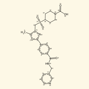 Cc1oc(-c2ccc(C(=O)NCc3cccnc3)cc2)nc1CS(=O)(=O)C1CCN(C(=O)O)CC1